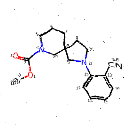 CC(C)(C)OC(=O)N1CCCC2(CCN(c3ccccc3C#N)C2)C1